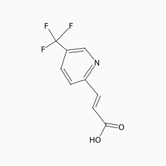 O=C(O)/C=C/c1ccc(C(F)(F)F)cn1